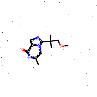 COCC(C)(C)c1ncc2c(=O)[nH]c(C)cn12